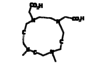 CN1CCCN(CC(=O)O)CCN(CC(=O)O)CCCN(C)CC1